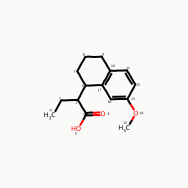 CCC(C(=O)O)C1CCCc2ccc(OC)cc21